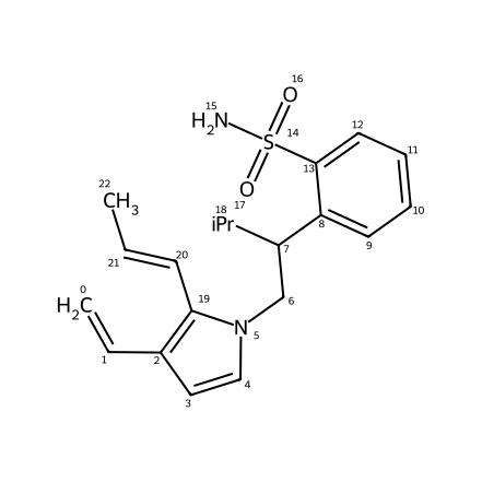 C=Cc1ccn(CC(c2ccccc2S(N)(=O)=O)C(C)C)c1C=CC